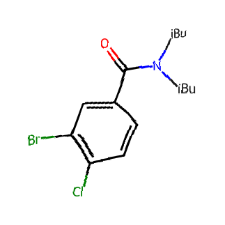 CCC(C)N(C(=O)c1ccc(Cl)c(Br)c1)C(C)CC